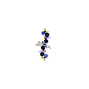 CN(CC(C(=O)O)N(C)c1cccc(C(=O)Nc2cccc(-n3nnnc3C(=S)S)c2)c1)c1cccc(C(=O)Nc2cccc(-n3nnnc3C(=S)S)c2)c1